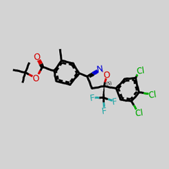 Cc1cc(C2=NO[C@@](c3cc(Cl)c(Cl)c(Cl)c3)(C(F)(F)F)C2)ccc1C(=O)OC(C)(C)C